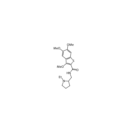 CCN1CCCC1CNC(=O)c1sc2cc(OC)c(OC)cc2c1OC